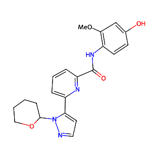 COc1cc(O)ccc1NC(=O)c1cccc(-c2ccnn2C2CCCCO2)n1